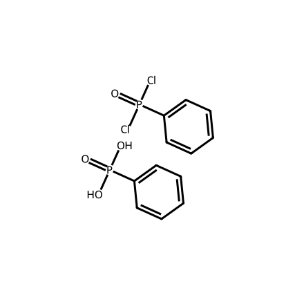 O=P(Cl)(Cl)c1ccccc1.O=P(O)(O)c1ccccc1